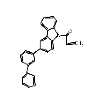 C=CC(=O)n1c2ccccc2c2cc(-c3cccc(-c4ccccc4)c3)ccc21